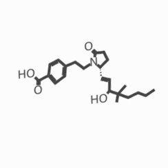 CCCCC(C)(C)C(O)C=C[C@H]1CCC(=O)N1CCc1ccc(C(=O)O)cc1